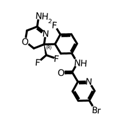 NC1=N[C@](C(F)F)(C2CC(NC(=O)c3ccc(Br)cn3)=CC=C2F)COC1